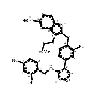 COCCn1c(Cc2ccc(-c3csnc3OCc3ccc(C#N)cc3F)cc2F)nc2ccc(C(=O)O)cc21